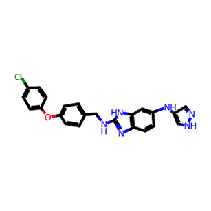 Clc1ccc(Oc2ccc(CNc3nc4ccc(Nc5cn[nH]c5)cc4[nH]3)cc2)cc1